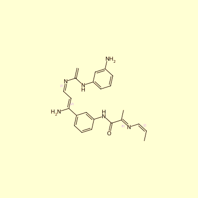 C=C(/N=C\C=C(/N)c1cccc(NC(=O)/C(C)=N/C=C\C)c1)Nc1cccc(N)c1